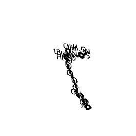 Cc1ncsc1-c1ccc(CNC(=O)[C@@H]2C[C@@H](O)CN2C(=O)C(NC(=O)COCCOCCOCCOCC(=O)N2CCN(c3ccn4c(n3)nc3ccccc34)CC2)C(C)(C)C)cc1